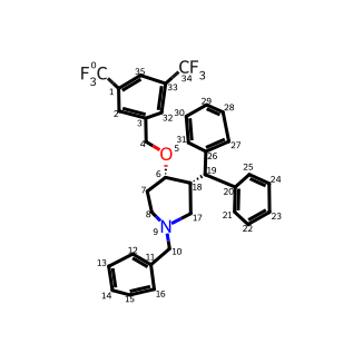 FC(F)(F)c1cc(CO[C@H]2CCN(Cc3ccccc3)C[C@H]2C(c2ccccc2)c2ccccc2)cc(C(F)(F)F)c1